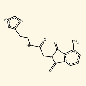 Nc1cccc2c1C(=O)N(CC(=O)NCCc1c[nH]cn1)C2=O